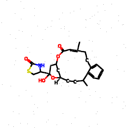 C/C1=C/C(=O)OC2C[C@@H](CCC(C)c3ccccc3CC1)OC(O)(C1CSC(=O)N1)C2